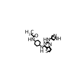 C=CC(=O)N[C@H]1CC[C@@H](Nc2nc(Nc3cn[nH]c3)nc3ccsc23)CC1